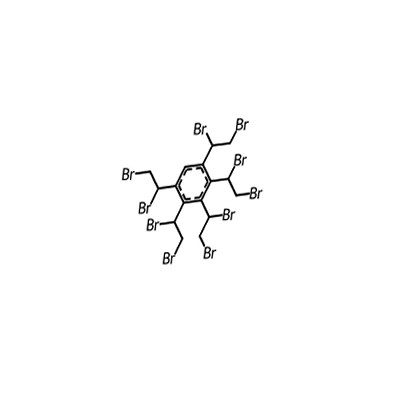 BrCC(Br)c1cc(C(Br)CBr)c(C(Br)CBr)c(C(Br)CBr)c1C(Br)CBr